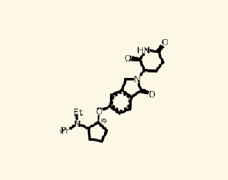 CCN(C(C)C)C1CCC[C@@H]1Oc1ccc2c(c1)CN(C1CCC(=O)NC1=O)C2=O